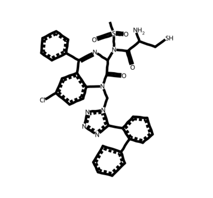 CS(=O)(=O)N(C(=O)C(N)CS)C1N=C(c2ccccc2)c2cc(Cl)ccc2N(Cn2nnnc2-c2ccccc2-c2ccccc2)C1=O